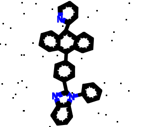 c1ccc(-n2c(-c3ccc(-c4c5ccccc5c(-c5ccccn5)c5ccccc45)cc3)nc3ccccc32)cc1